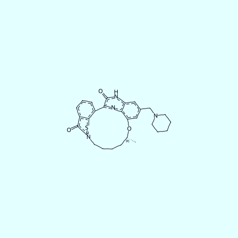 C[C@@H]1CCCCn2sc3c(cccc3c2=O)-c2nc3c(cc(CN4CCCCC4)cc3[nH]c2=O)O1